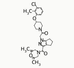 Cc1c(Cl)cccc1OC1CCN(C(=O)Cn2nc(C(=O)N3C[C@@H](C)O[C@@H](C)C3)c3c2CCC3)CC1